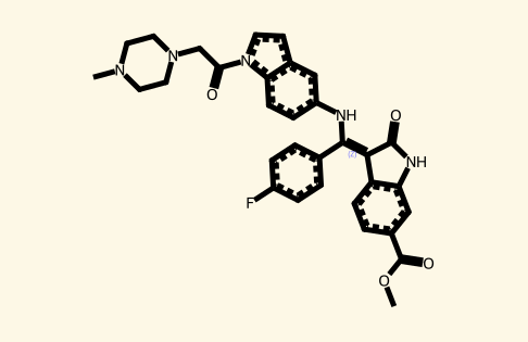 COC(=O)c1ccc2c(c1)NC(=O)/C2=C(\Nc1ccc2c(ccn2C(=O)CN2CCN(C)CC2)c1)c1ccc(F)cc1